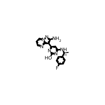 C[C@H](Nc1cc(-c2c(N)nn3cccnc23)nc(O)n1)c1ccc(F)cc1